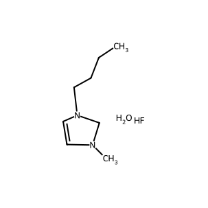 CCCCN1C=CN(C)C1.F.O